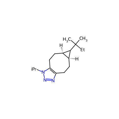 CCC(C)(C)C1[C@H]2CCc3nnn(C(C)C)c3CC[C@@H]12